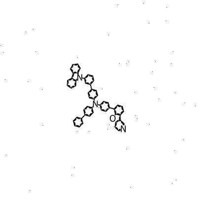 c1ccc(-c2ccc(N(c3ccc(-c4cccc(-n5c6ccccc6c6ccccc65)c4)cc3)c3ccc(-c4cccc5c4oc4ccncc45)cc3)cc2)cc1